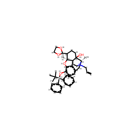 C=CCN1CC[C@]23c4c5ccc(O[Si](c6ccccc6)(c6ccccc6)C(C)(C)C)c4O[C@H]2C(C2OCCO2)CCC3(O)[C@H]1C5